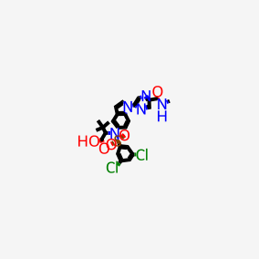 CNC(=O)c1cnc(-n2ccc3cc(N(C(C(=O)O)C(C)(C)C)S(=O)(=O)c4cc(Cl)cc(Cl)c4)ccc32)cn1